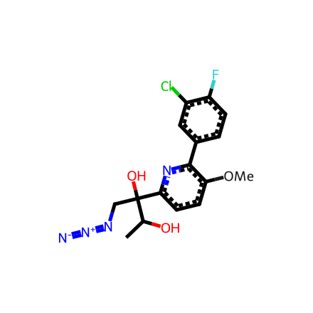 COc1ccc(C(O)(CN=[N+]=[N-])C(C)O)nc1-c1ccc(F)c(Cl)c1